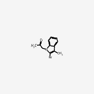 CC(=O)Cn1c(Br)c(C)c2ccccc21